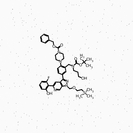 CC(C)(C)OC(=O)N(CCCO)Cc1cc(-c2nn(COCC[Si](C)(C)C)c3cnc(-c4c(O)cccc4F)cc23)ccc1N1CCN(C(=O)OCc2ccccc2)CC1